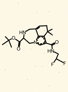 CC(C)(C)OC(=O)C1Cn2cc(C(=O)NCC(F)F)c3c2C(=CCC3(C)C)CN1